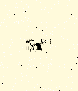 [GeH2-].[GeH2-].[GeH2-].[GeH2-].[W+4]